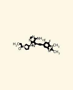 C=CC(=O)N1CCC(n2nc(C#Cc3cc4nc(C)n(C)c4c(F)c3F)c3c(N)ncnc32)C1